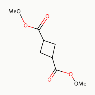 COOC(=O)C1CC(C(=O)OOC)C1